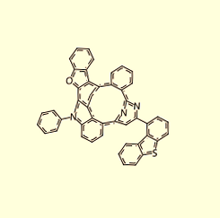 c1ccc(-n2c3cccc4c5cc(-c6cccc7sc8ccccc8c67)nc(n5)c5ccccc5c5cc(c43)c2c2oc3ccccc3c52)cc1